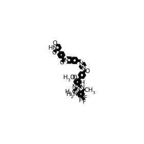 COc1cc2nc(C)nc(N[C@H](C)c3cc(N)cc(C(F)(F)F)c3)c2cc1C1CCC(C(=O)N2CCN(CC3CCC4(CC3)CCN(C(=O)c3ccc([C@H]5CCC(=O)NC5=O)cc3)CC4)CC2)CC1